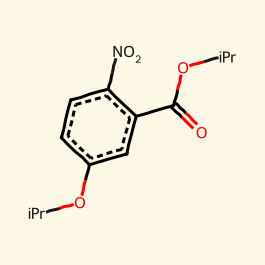 CC(C)OC(=O)c1cc(OC(C)C)ccc1[N+](=O)[O-]